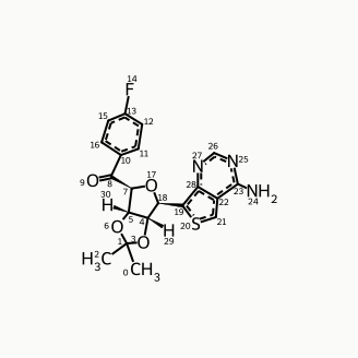 CC1(C)O[C@@H]2[C@H](O1)[C@@H](C(=O)c1ccc(F)cc1)O[C@H]2c1scc2c(N)ncnc12